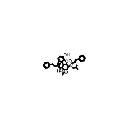 CC(=O)O[C@@]12CCC(N(CC(C)C)C(=O)/C=C/c3ccccc3)C3Oc4c(O)ccc5c4[C@@]31CCN(CCc1ccccc1)[C@@H]2C5